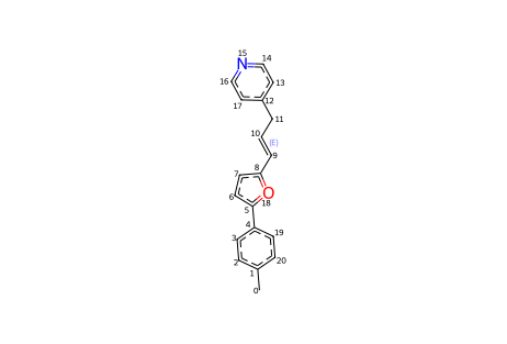 Cc1ccc(-c2ccc(/C=C/Cc3ccncc3)o2)cc1